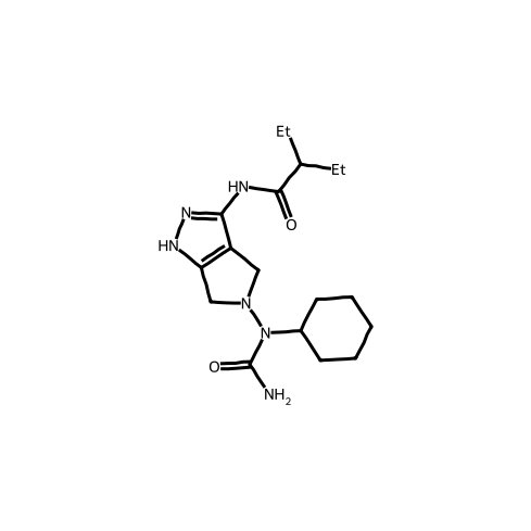 CCC(CC)C(=O)Nc1n[nH]c2c1CN(N(C(N)=O)C1CCCCC1)C2